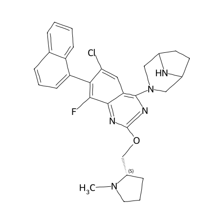 CN1CCC[C@H]1COc1nc(N2CC3CCC(C2)N3)c2cc(Cl)c(-c3cccc4ccccc34)c(F)c2n1